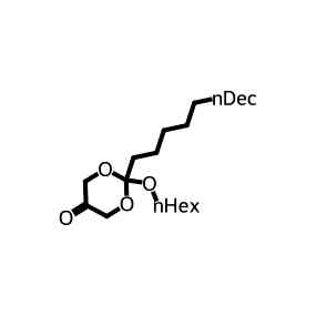 CCCCCCCCCCCCCCCC1(OCCCCCC)OCC(=O)CO1